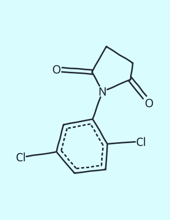 O=C1CCC(=O)N1c1cc(Cl)ccc1Cl